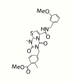 COC(=O)c1ccc(CN2C(=O)N(C)C3SC=C(C(=O)NCc4cccc(OC)c4)N3C2=O)cc1C